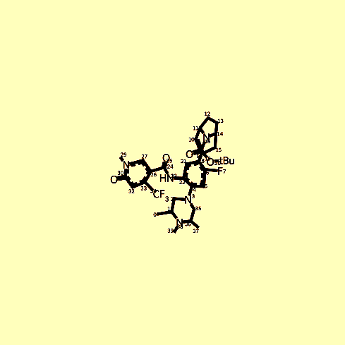 CC1CN(c2cc(F)c(C3=CC4CCC(C3)N4C(=O)OC(C)(C)C)cc2NC(=O)c2cn(C)c(=O)cc2C(F)(F)F)CC(C)N1C